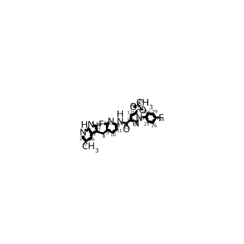 Cc1cnc2[nH]cc(Cc3ccc(NC(=O)c4cc(S(C)(=O)=O)n(-c5ccc(F)cc5)n4)nc3F)c2c1